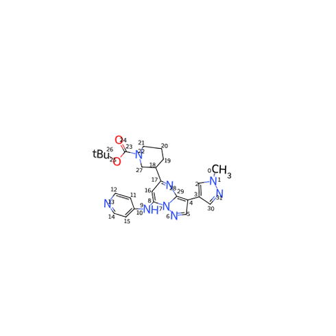 Cn1cc(-c2cnn3c(Nc4ccncc4)cc(C4CCCN(C(=O)OC(C)(C)C)C4)nc23)cn1